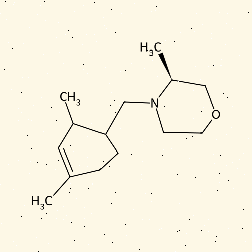 CC1=CC(C)C(CN2CCOC[C@@H]2C)CC1